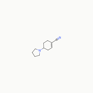 N#CC1=CCC(N2CCCC2)CC1